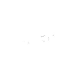 CC(=O)N[C@@H](Cc1ccc(Br)cc1)C(=O)O